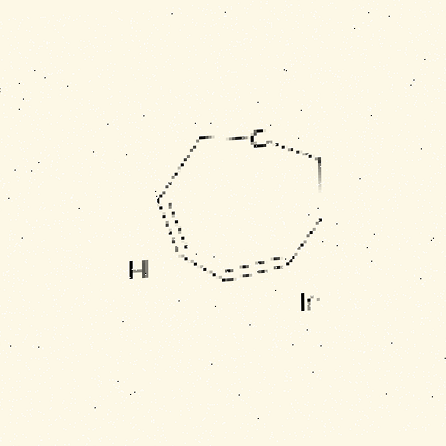 C1=C\CCCC\C=C/1.I.[Ir]